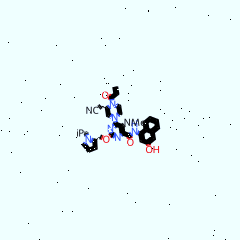 C=CC(=O)N1CCN(c2nc(OC[C@@H]3CCCN3C(C)C)nc(C(=O)Nc3cc(O)cc4ccccc34)c2NC)C[C@@H]1CC#N